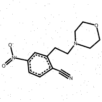 N#Cc1ccc([N+](=O)[O-])cc1CCN1CCOCC1